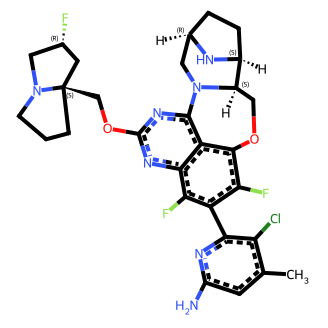 Cc1cc(N)nc(-c2c(F)c3c4c(nc(OC[C@@]56CCCN5C[C@H](F)C6)nc4c2F)N2C[C@H]4CC[C@H](N4)[C@H]2CO3)c1Cl